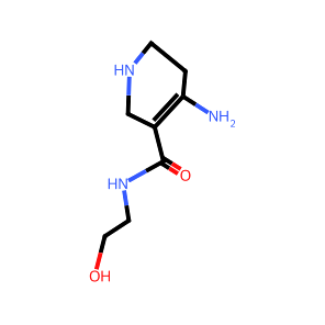 NC1=C(C(=O)NCCO)CNCC1